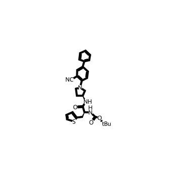 CC(C)(C)OC(=O)N[C@@H](Cc1cccs1)C(=O)N[C@H]1CCN(c2ccc(-c3ccccc3)cc2C#N)C1